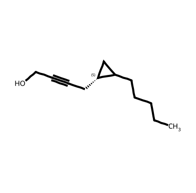 CCCCCC1C[C@H]1CC#CCO